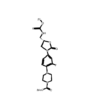 CCOC(=S)NC[C@H]1CN(c2ccc(N3CCN(C(=O)OC)CC3)c(F)c2)C(=O)O1